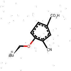 CC[C@H](C)COc1ccc(C(=O)O)cc1C#N